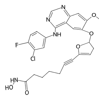 COc1cc2ncnc(Nc3ccc(F)c(Cl)c3)c2cc1OC1CC=C(C#CCCCCC(=O)NO)O1